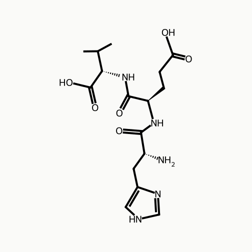 CC(C)[C@H](NC(=O)[C@@H](CCC(=O)O)NC(=O)[C@H](N)Cc1c[nH]cn1)C(=O)O